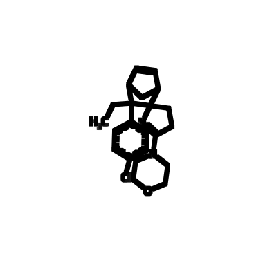 CCC1(c2ccc(Cl)cc2)C2C=CC(C2)C12CCC(N1CCOCC1)=N2